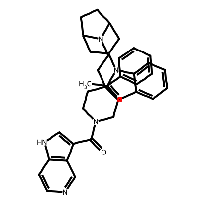 Cc1nc2ccccc2n1C1CC2CCC(C1)N2CCC1(c2ccccc2)CCN(C(=O)c2c[nH]c3ccncc23)CC1